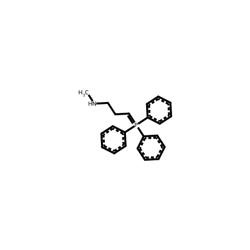 CNCCC=P(c1ccccc1)(c1ccccc1)c1ccccc1